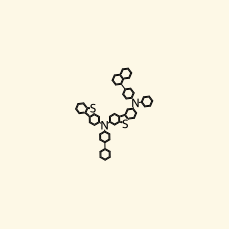 c1ccc(-c2ccc(N(c3ccc4c(c3)sc3ccccc34)c3ccc4c(c3)sc3ccc(N(c5ccccc5)c5ccc(-c6cccc7ccccc67)cc5)cc34)cc2)cc1